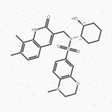 Cc1ccc2cc(CN([C@H]3CCCC[C@@H]3O)S(=O)(=O)c3ccc4c(c3)OCCN4C)c(=O)[nH]c2c1C